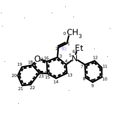 C/C=C/c1c(N(CC)c2ccccc2)ccc2c1oc1ccccc12